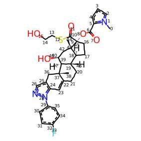 Cn1cccc1C(=O)O[C@]1(C(=O)SCCO)CC[C@H]2[C@@H]3CCC4=Cc5c(cnn5-c5ccc(F)cc5)C[C@]4(C)[C@H]3[C@@H](O)C[C@@]21C